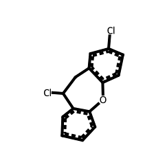 Clc1ccc2c(c1)CC(Cl)c1ccccc1O2